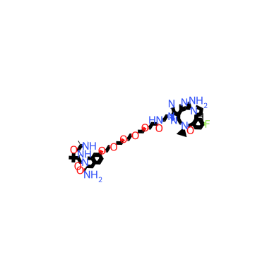 CN[C@@H](C)C(=O)N[C@H](C(=O)N1Cc2cc(OCCOCCOCCOCCOCCC(=O)NCCn3nc4c(c3C#N)-c3cnc(N)c(c3)N3CCC[C@@H]3c3cc(F)ccc3C(=O)N(C3CC3)C4)ccc2C[C@H]1C(N)=O)C(C)(C)C